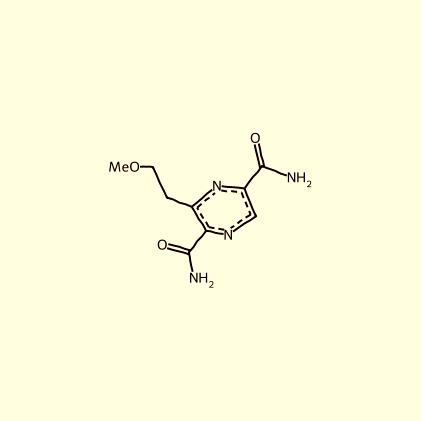 COCCc1nc(C(N)=O)cnc1C(N)=O